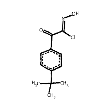 CC(C)(C)c1ccc(C(=O)C(Cl)=NO)cc1